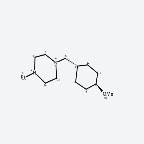 CCN1CCN(C[C@H]2CC[C@H](OC)CC2)CC1